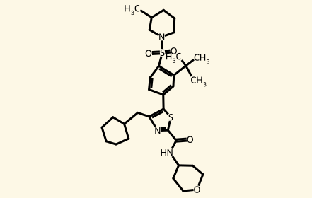 CC1CCCN(S(=O)(=O)c2ccc(-c3sc(C(=O)NC4CCOCC4)nc3CC3CCCCC3)cc2C(C)(C)C)C1